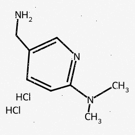 CN(C)c1ccc(CN)cn1.Cl.Cl